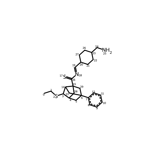 CCSC1C2CC3(c4ccccc4)CC1C(C(=S)/N=C/C1CCC(CN)CC1)(C2)C3